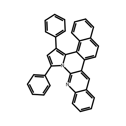 c1ccc(-c2cc(-c3ccccc3)n3c4nc5ccccc5cc4c4ccc5ccccc5c4c23)cc1